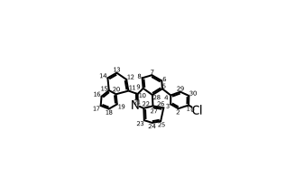 Clc1ccc(-c2cccc3c(-c4cccc5ccccc45)nc4ccccc4c23)cc1